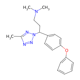 Cc1nnn(C(CCN(C)C)c2ccc(Oc3ccccc3)cc2)n1